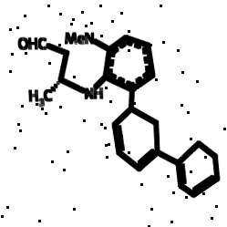 CNc1cccc(C2C=CC=C(C3=CC=CCC3)C2)c1N[C@H](C)CC=O